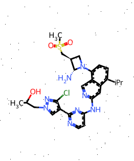 CC(O)Cn1cc(-c2nccc(Nc3cc4c(C(C)C)ccc(N5C[C@H](CS(C)(=O)=O)[C@H]5N)c4cn3)n2)c(Cl)n1